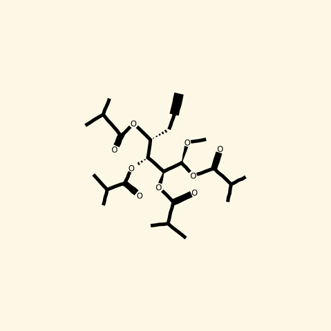 C#CC[C@@H](OC(=O)C(C)C)[C@@H](OC(=O)C(C)C)[C@H](OC(=O)C(C)C)[C@@H](OC)OC(=O)C(C)C